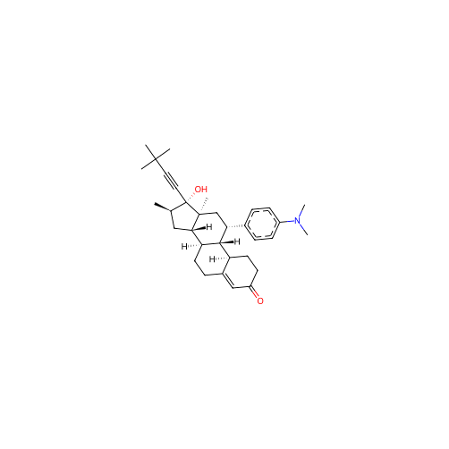 C[C@@H]1C[C@H]2[C@@H]3CCC4=CC(=O)CC[C@@H]4[C@H]3[C@@H](c3ccc(N(C)C)cc3)C[C@]2(C)[C@]1(O)C#CC(C)(C)C